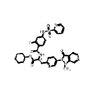 Cn1c2cnccc2c(=O)n1-c1ccc(C[C@H](NC(=O)c2ccc(NS(=O)(=O)c3ccccn3)cc2F)C(=O)OC2CCCCC2)nc1